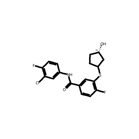 O=C(Nc1ccc(F)c(Cl)c1)c1ccc(F)c(SC2CC[C@H](O)C2)c1